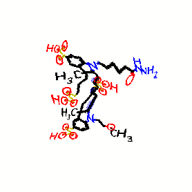 COCCN1/C(=C/C=C/C=C/C2=[N+](CCCCCC(=O)NN)c3ccc(S(=O)(=O)O)cc3C2(C)CCCS(=O)(=O)O)C(C)(CCCS(=O)(=O)O)c2cc(S(=O)(=O)O)ccc21